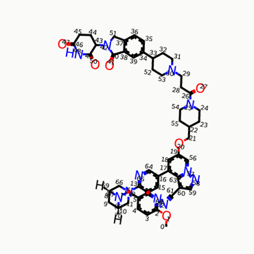 COc1ccc(CN2[C@@H]3C[C@H]2CN(c2ccc(-c4cc(OCC5CCN(C(=O)CCN6CCC(c7ccc8c(c7)C(=O)N(C7CCC(=O)NC7=O)C8)CC6)CC5)cn5ncc(C#N)c45)cn2)C3)cn1